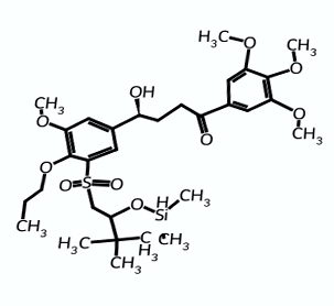 CCCOc1c(OC)cc([C@@H](O)CCC(=O)c2cc(OC)c(OC)c(OC)c2)cc1S(=O)(=O)CC(O[SiH](C)C)C(C)(C)C